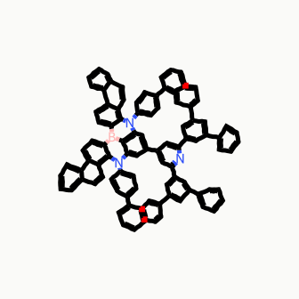 c1ccc(-c2ccc(N3c4cc(-c5cc(-c6cc(-c7ccccc7)cc(-c7ccccc7)c6)nc(-c6cc(-c7ccccc7)cc(-c7ccccc7)c6)c5)cc5c4B(c4ccc6c(ccc7ccccc76)c43)c3ccc4c(ccc6ccccc64)c3N5c3ccc(-c4ccccc4)cc3)cc2)cc1